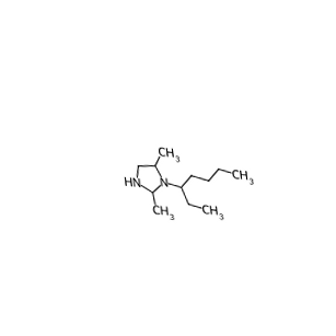 CCCCC(CC)N1C(C)CNC1C